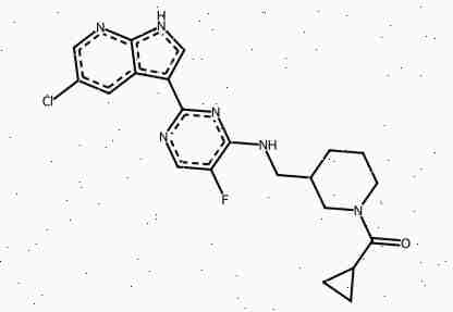 O=C(C1CC1)N1CCCC(CNc2nc(-c3c[nH]c4ncc(Cl)cc34)ncc2F)C1